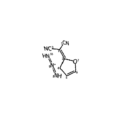 N#CC(C#N)=C1CC=CO1.N=[N+]=N